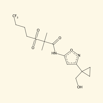 CC(C)(C(=O)Nc1cc(C2(CO)CC2)no1)S(=O)(=O)CCCC(F)(F)F